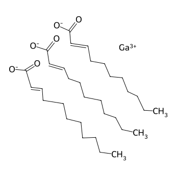 CCCCCCCCC=CC(=O)[O-].CCCCCCCCC=CC(=O)[O-].CCCCCCCCC=CC(=O)[O-].[Ga+3]